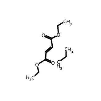 CCC.CCOC(=O)/C=C/C(=O)OCC